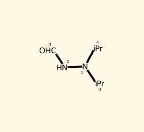 CC(C)N(NC=O)C(C)C